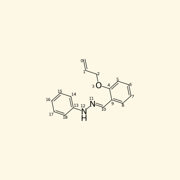 C=CCOc1ccccc1C=NNc1ccccc1